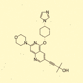 CC(C)(O)C#Cc1cnc2cc(N3CCOCC3)nc(O[C@H]3CC[C@@H](n4ccnc4)CC3)c2c1